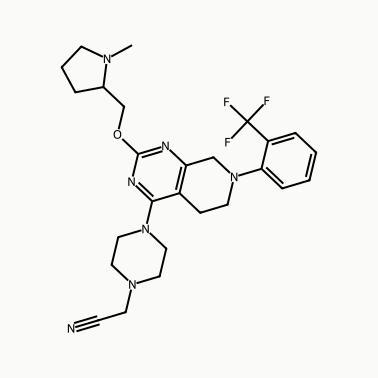 CN1CCCC1COc1nc2c(c(N3CCN(CC#N)CC3)n1)CCN(c1ccccc1C(F)(F)F)C2